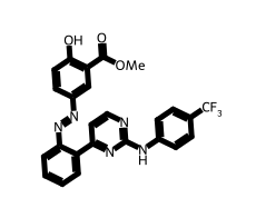 COC(=O)c1cc(/N=N/c2ccccc2-c2ccnc(Nc3ccc(C(F)(F)F)cc3)n2)ccc1O